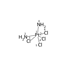 [NH2][Pt-2]([NH2])([Cl])([Cl])([Cl])[Cl]